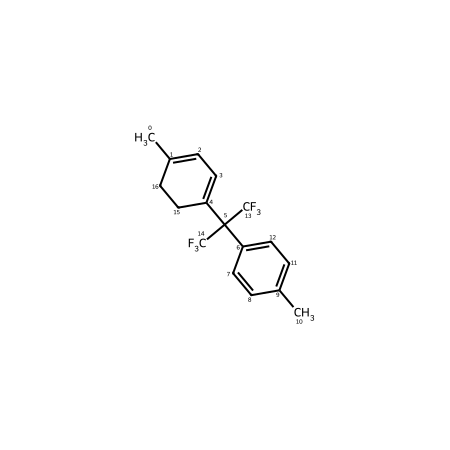 CC1=CC=C(C(c2ccc(C)cc2)(C(F)(F)F)C(F)(F)F)CC1